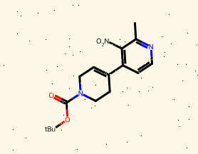 Cc1nccc(C2=CCN(C(=O)OC(C)(C)C)CC2)c1[N+](=O)[O-]